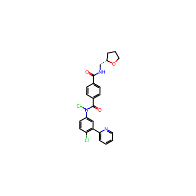 O=C(NC[C@@H]1CCCO1)c1ccc(C(=O)N(Cl)c2ccc(Cl)c(-c3ccccn3)c2)cc1